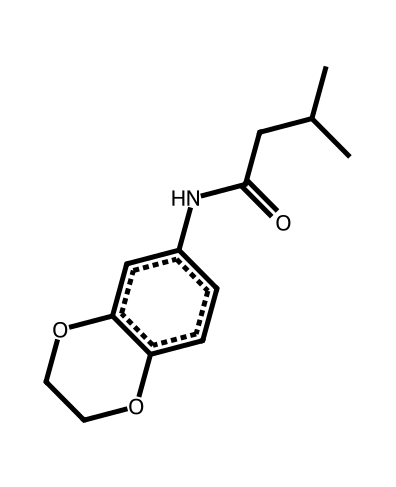 CC(C)CC(=O)Nc1ccc2c(c1)OCCO2